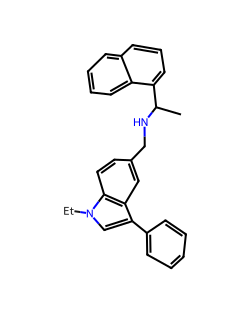 CCn1cc(-c2ccccc2)c2cc(CNC(C)c3cccc4ccccc34)ccc21